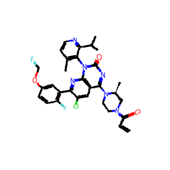 C=CC(=O)N1CCN(c2nc(=O)n(-c3c(C)ccnc3C(C)C)c3nc(-c4cc(OCF)ccc4F)c(Cl)cc23)[C@@H](C)C1